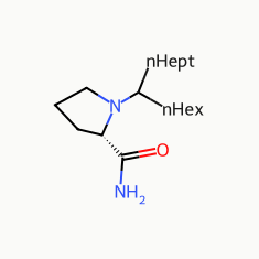 CCCCCCCC(CCCCCC)N1CCC[C@H]1C(N)=O